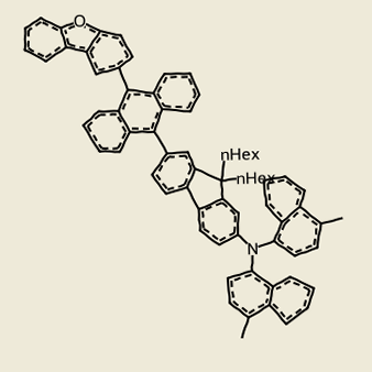 CCCCCCC1(CCCCCC)c2cc(-c3c4ccccc4c(-c4ccc5oc6ccccc6c5c4)c4ccccc34)ccc2-c2ccc(N(c3ccc(C)c4ccccc34)c3ccc(C)c4ccccc34)cc21